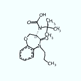 CCCN1C(=O)[C@@H](N(C(=O)O)C(C)(C)C)COc2ccccc21